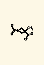 CC1([N+](=O)[O-])CN([N+](=O)[O-])C1